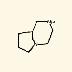 [CH]1NCCN2CCCC12